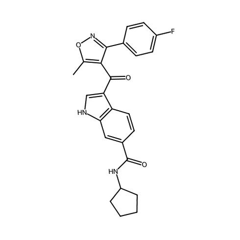 Cc1onc(-c2ccc(F)cc2)c1C(=O)c1c[nH]c2cc(C(=O)NC3CCCC3)ccc12